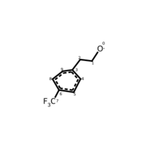 [O]CCc1ccc(C(F)(F)F)cc1